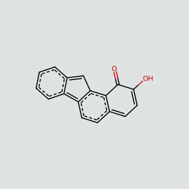 O=C1C(O)=CC=c2ccc3c(c21)C=c1ccccc1=3